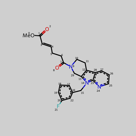 COC(=O)/C=C/CCC(=O)N1CCc2c(n(Cc3cccc(F)c3)c3ncccc23)C1